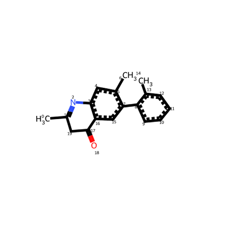 CC1=Nc2cc(C)c(-c3ccccc3C)cc2C(=O)C1